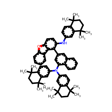 CC1(C)CCC(C)(C)c2cc(Nc3ccc4oc5ccccc5c4c3-c3cc(N(c4ccc5c(c4)C(C)(C)CCC5(C)C)c4ccc5c(c4)C(C)(C)CCC5(C)C)c4ccccc4c3)ccc21